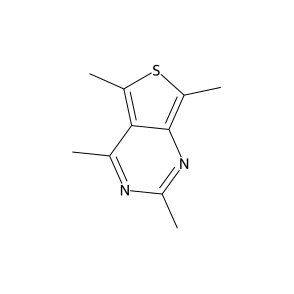 Cc1nc(C)c2c(C)sc(C)c2n1